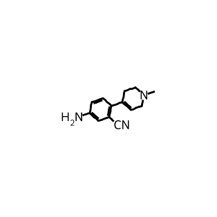 CN1CC=C(c2ccc(N)cc2C#N)CC1